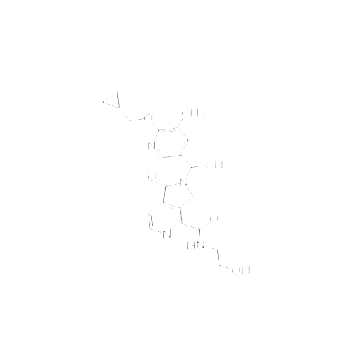 Cc1cc(C(C)N2Cc3c(ccnc3C(=O)NCCO)C2=O)cnc1OCC1CC1